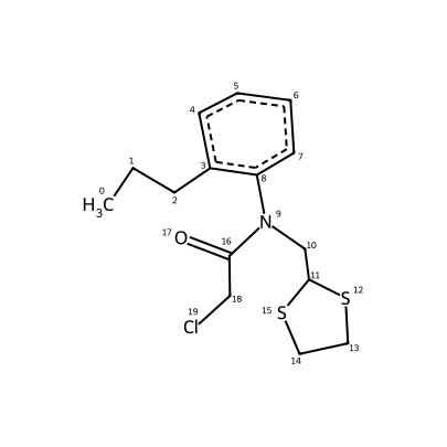 CCCc1ccccc1N(CC1SCCS1)C(=O)CCl